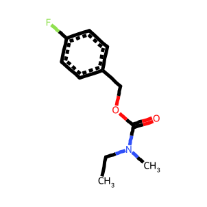 CCN(C)C(=O)OCc1ccc(F)cc1